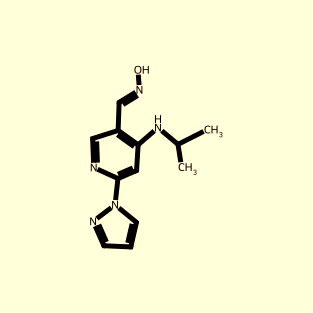 CC(C)Nc1cc(-n2cccn2)ncc1C=NO